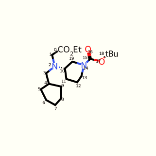 CCOC(=O)CN(CC1CCCCC1)[C@H]1CCCN(C(=O)OC(C)(C)C)C1